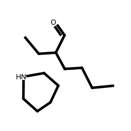 C1CCNCC1.CCCCC(C=O)CC